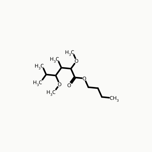 CCCCOC(=O)C(OC)C(C)C(OC)C(C)C